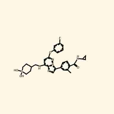 Cc1cc(-c2cnc3c(NCC4CCS(O)(O)CC4)cc(Oc4cccc(F)c4)nn23)ccc1C(=O)NC1CC1